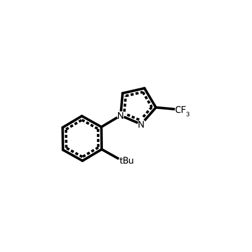 CC(C)(C)c1ccccc1-n1ccc(C(F)(F)F)n1